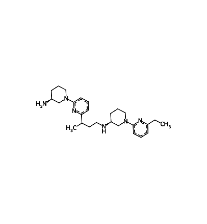 CCc1cccc(N2CCC[C@H](NCCC(C)c3cccc(N4CCC[C@H](N)C4)n3)C2)n1